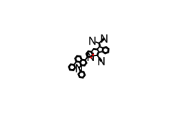 N#CC(C#N)=C1C(=Cc2ccc(-c3ccc4c5c(cccc35)-c3ccccc3N4c3ccccc3)cc2)C(=C(C#N)C#N)c2ccccc21